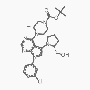 C[C@H]1CN(C(=O)OC(C)(C)C)CCN1c1ncnc2c1c(N1CCC[C@@H]1CO)cn2-c1cccc(Cl)c1